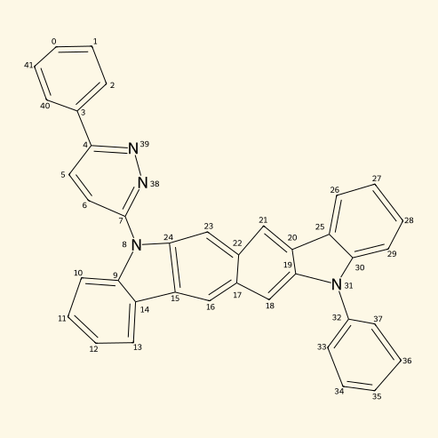 c1ccc(-c2ccc(-n3c4ccccc4c4cc5cc6c(cc5cc43)c3ccccc3n6-c3ccccc3)nn2)cc1